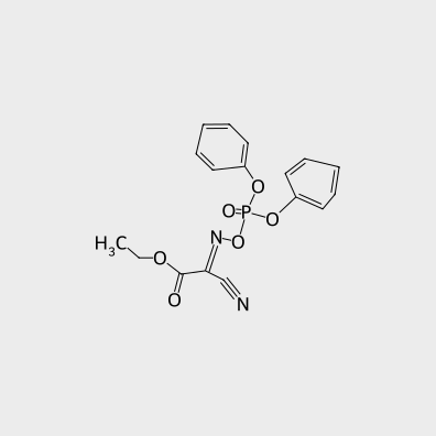 CCOC(=O)/C(C#N)=N/OP(=O)(Oc1ccccc1)Oc1ccccc1